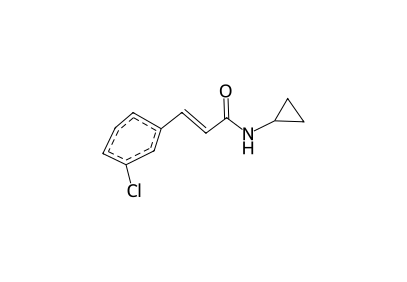 O=C(/C=C/c1cccc(Cl)c1)NC1CC1